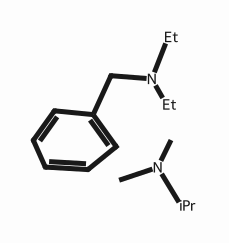 CC(C)N(C)C.CCN(CC)Cc1ccccc1